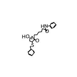 O=C(CCCCCN1C(=O)C(SCc2ccccc2)CC1O)Nc1ccccc1